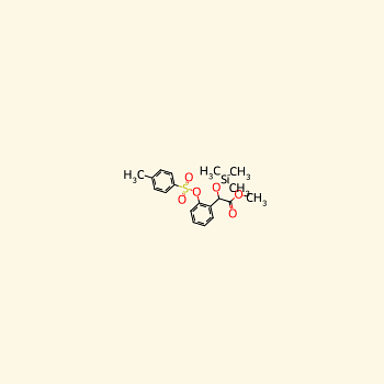 COC(=O)C(O[Si](C)(C)C)c1ccccc1OS(=O)(=O)c1ccc(C)cc1